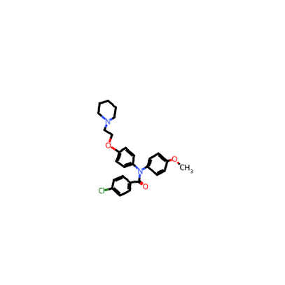 COc1ccc(N(C(=O)c2ccc(Cl)cc2)c2ccc(OCCN3CCCCC3)cc2)cc1